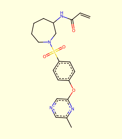 C=CC(=O)NC1CCCCN(S(=O)(=O)c2ccc(Oc3cncc(C)n3)cc2)C1